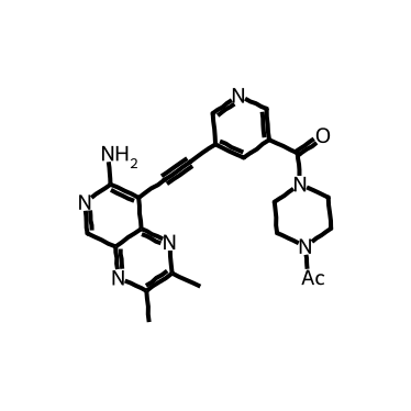 CC(=O)N1CCN(C(=O)c2cncc(C#Cc3c(N)ncc4nc(C)c(C)nc34)c2)CC1